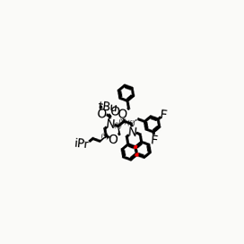 CC(C)CC[C@H]1CN(C(=O)OC(C)(C)C)[C@@H]([C@@H](OCc2ccccc2)[C@H](Cc2cc(F)cc(F)c2)N(Cc2ccccc2)Cc2ccccc2)CO1